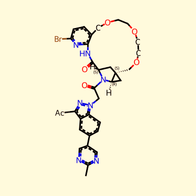 CC(=O)c1nn(CC(=O)N2[C@H]3C[C@@]4(COCCOCCOCc5ccc(Br)nc5NC3=O)C[C@@H]24)c2ccc(-c3cnc(C)nc3)cc12